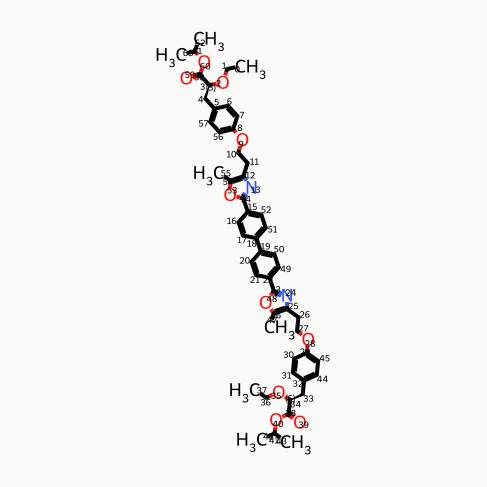 CCO[C@@H](Cc1ccc(OCCc2nc(-c3ccc(-c4ccc(-c5nc(CCOc6ccc(C[C@H](OCC)C(=O)OC(C)C)cc6)c(C)o5)cc4)cc3)oc2C)cc1)C(=O)OC(C)C